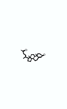 CC(=O)CCC(C)C1CCC2C3CCC4=CC(=O)CCC4(C)C3CCC12C